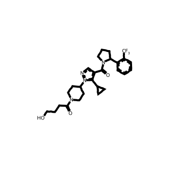 O=C(CCCO)N1CCC(n2ncc(C(=O)N3CCCC3c3ccccc3C(F)(F)F)c2C2CC2)CC1